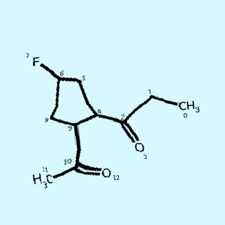 CCC(=O)C1CC(F)CC1C(C)=O